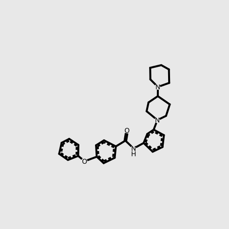 O=C(Nc1cccc(N2CCC(N3CCCCC3)CC2)c1)c1ccc(Oc2ccccc2)cc1